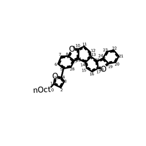 CCCCCCCCc1ccc(-c2ccc3oc4ccc5c(ccc6oc7ccccc7c65)c4c3c2)o1